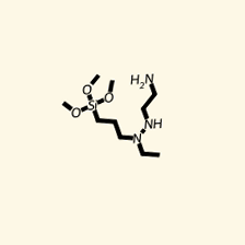 CCN(CCC[Si](OC)(OC)OC)NCCN